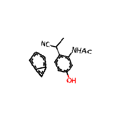 CC(=O)Nc1cc(O)ccc1C(C)C#N.c1cc2cc-2c1